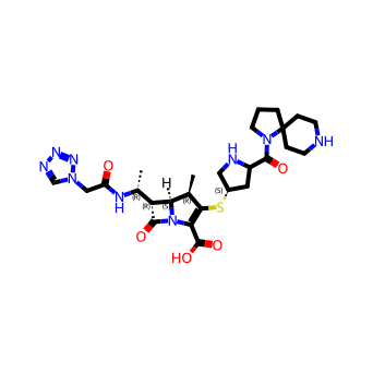 C[C@@H](NC(=O)Cn1cnnn1)[C@H]1C(=O)N2C(C(=O)O)=C(S[C@@H]3CNC(C(=O)N4CCCC45CCNCC5)C3)[C@H](C)[C@H]12